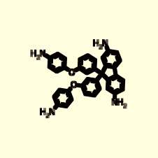 Nc1ccc(Oc2cccc(C3(c4cccc(Oc5ccc(N)cc5)c4)c4cc(N)ccc4-c4ccc(N)cc43)c2)cc1